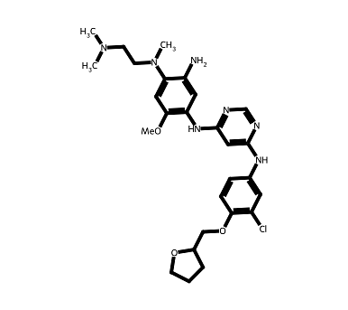 COc1cc(N(C)CCN(C)C)c(N)cc1Nc1cc(Nc2ccc(OCC3CCCO3)c(Cl)c2)ncn1